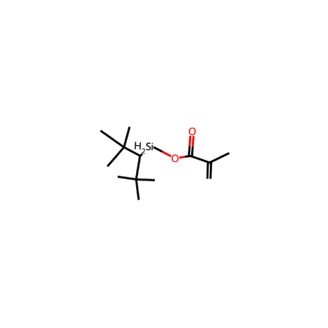 C=C(C)C(=O)O[SiH2]C(C(C)(C)C)C(C)(C)C